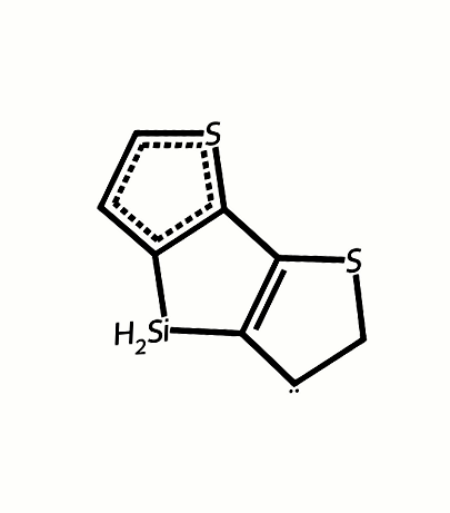 [C]1CSC2=C1[SiH2]c1ccsc12